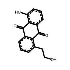 O=C1c2cccc(CCO)c2C(=O)c2cccc(O)c21